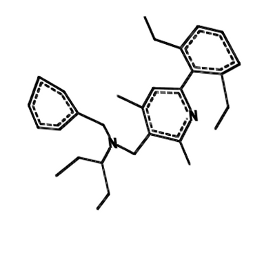 CCc1cccc(CC)c1-c1cc(C)c(CN(Cc2ccccc2)C(CC)CC)c(C)n1